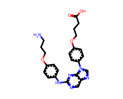 NCCCOc1ccc(Nc2ncc3ncn(-c4ccc(OCCCC(=O)O)cc4)c3n2)cc1